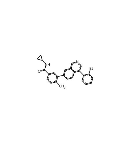 CCc1ccccc1-c1nncc2cc(-c3cc(C(=O)NC4CC4)ccc3C)ccc12